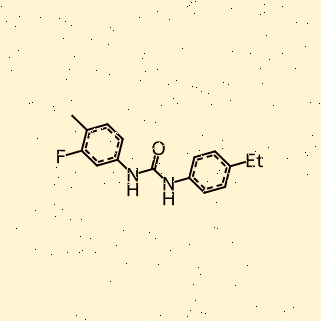 CCc1ccc(NC(=O)Nc2ccc(C)c(F)c2)cc1